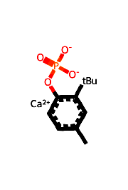 Cc1ccc(OP(=O)([O-])[O-])c(C(C)(C)C)c1.[Ca+2]